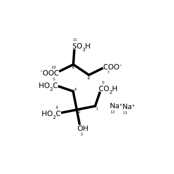 O=C(O)CC(O)(CC(=O)O)C(=O)O.O=C([O-])CC(C(=O)[O-])S(=O)(=O)O.[Na+].[Na+]